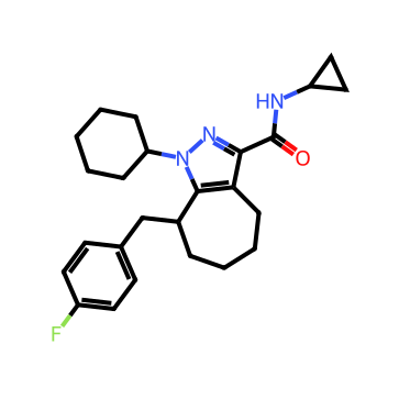 O=C(NC1CC1)c1nn(C2CCCCC2)c2c1CCCCC2Cc1ccc(F)cc1